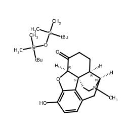 CC(C)(C)[Si](C)(C)O[Si](C)(C)C(C)(C)C.CN1CC[C@]23c4c5ccc(O)c4O[C@H]2C(=O)CC[C@H]3[C@H]1C5